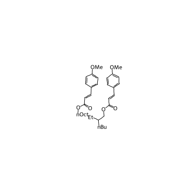 CCCCC(CC)COC(=O)/C=C/c1ccc(OC)cc1.CCCCCCCCOC(=O)/C=C/c1ccc(OC)cc1